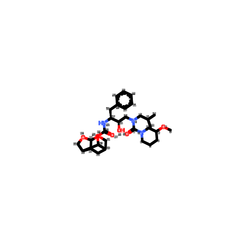 COC1CCCN(C(=O)N(CC(C)C)C[C@@H](O)[C@H](Cc2ccccc2)NC(=O)OC2C3COC4OCC2C4C3)C1